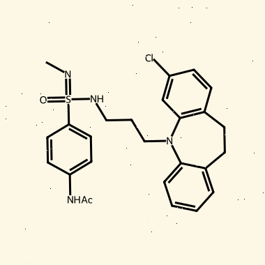 CN=S(=O)(NCCCN1c2ccccc2CCc2ccc(Cl)cc21)c1ccc(NC(C)=O)cc1